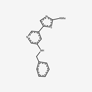 CNc1ncc(-c2cncc(NCc3ccccc3)c2)s1